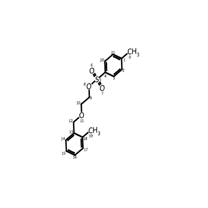 Cc1ccc(S(=O)(=O)OCCOCc2ccccc2C)cc1